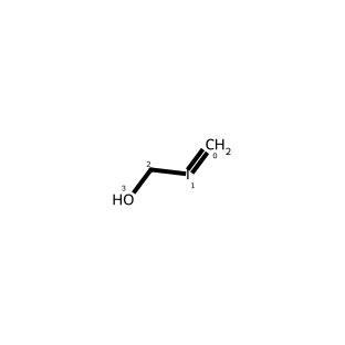 C=ICO